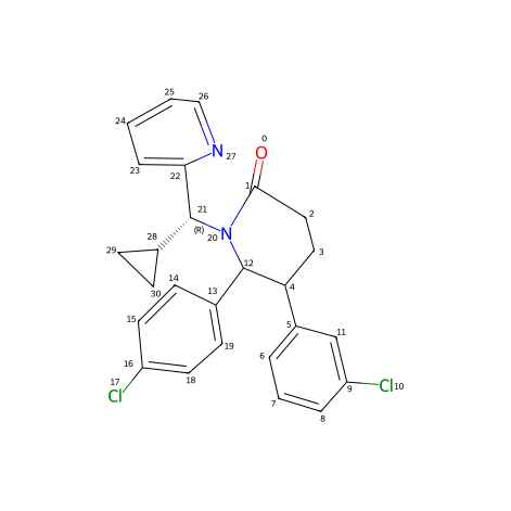 O=C1CCC(c2cccc(Cl)c2)C(c2ccc(Cl)cc2)N1[C@@H](c1ccccn1)C1CC1